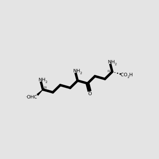 NC(CCC[C@H](N)[C]=O)C(=O)CC[C@H](N)C(=O)O